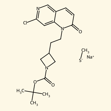 CC(C)(C)OC(=O)N1CC(CCn2c(=O)ccc3cnc(Cl)cc32)C1.C[S-].[Na+]